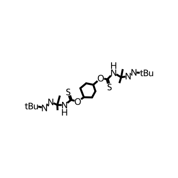 CC(C)(C)/N=N/C(C)(C)NC(=S)OC1CCC(OC(=S)NC(C)(C)/N=N/C(C)(C)C)CC1